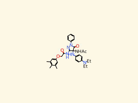 CCN(CC)c1ccc(NC2(NC(C)=O)C(=O)N(c3ccccc3)N=C2NC(=O)COc2cc(C)c(C)c(C)c2)cc1